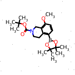 COc1ccc(B2OC(C)(C)C(C)(C)O2)c2c1CN(C(=O)OC(C)(C)C)CC2